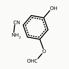 N#CN.O=COc1cccc(O)c1